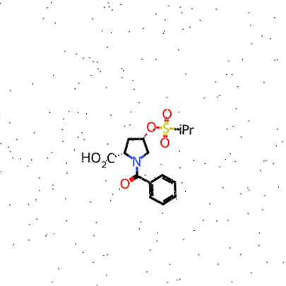 CC(C)S(=O)(=O)O[C@H]1C[C@@H](C(=O)O)N(C(=O)c2ccccc2)C1